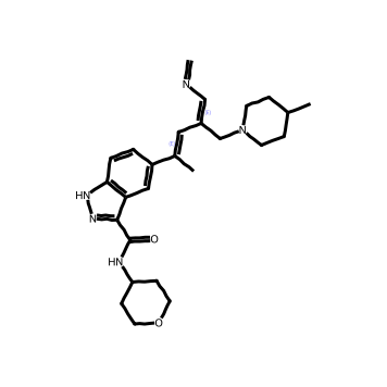 C=N/C=C(\C=C(/C)c1ccc2[nH]nc(C(=O)NC3CCOCC3)c2c1)CN1CCC(C)CC1